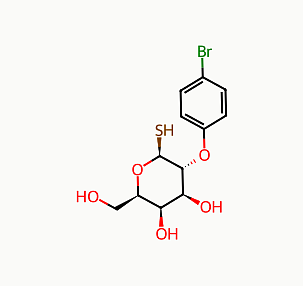 OC[C@H]1O[C@@H](S)[C@H](Oc2ccc(Br)cc2)[C@@H](O)[C@H]1O